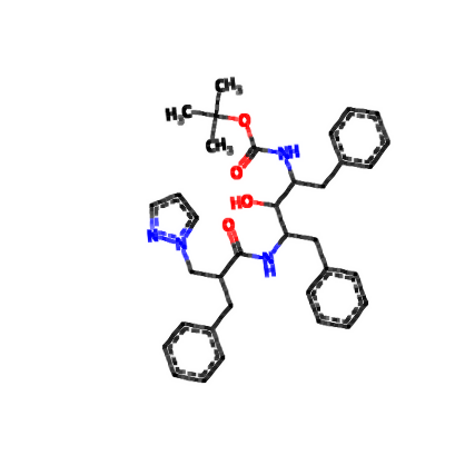 CC(C)(C)OC(=O)NC(Cc1ccccc1)C(O)C(Cc1ccccc1)NC(=O)C(Cc1ccccc1)Cn1cccn1